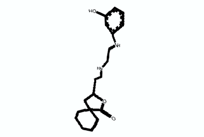 O=C1OC(CCNCCNc2cccc(O)c2)CC12CCCCC2